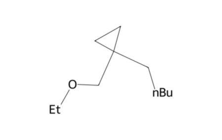 CCCCCC1(COCC)CC1